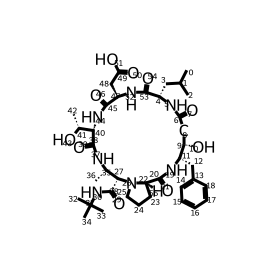 CC(C)C[C@@H]1NC(=O)C[C@H](O)[C@H](Cc2ccccc2)NC(=O)[C@@H]2CCCN2[C@H](C(=O)NC(C)(C)C)[C@H](C)NC(=O)[C@H]([C@@H](C)O)NC(=O)[C@@H](CC(=O)O)NC1=O